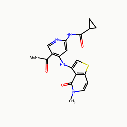 CNC(=O)c1cnc(NC(=O)C2CC2)cc1Nc1csc2ccn(C)c(=O)c12